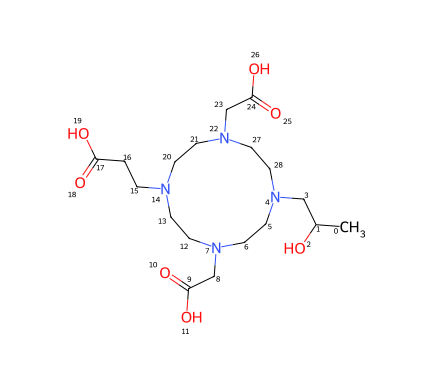 CC(O)CN1CCN(CC(=O)O)CCN(CCC(=O)O)CCN(CC(=O)O)CC1